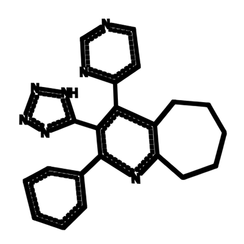 c1ccc(-c2nc3c(c(-c4ccncn4)c2-c2nnn[nH]2)CCCCC3)cc1